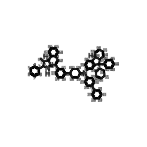 CC1C(c2ccccc2)NN2C(c3cccc(C4C=CC(N(c5ccc(-c6ccccc6)cc5)c5ccc6c(c5)C(c5ccccc5)([C@@H]5CC=CCC5)C5C=CC=C[C@@H]65)CC4)c3)=Cc3ccccc3[C@@H]12